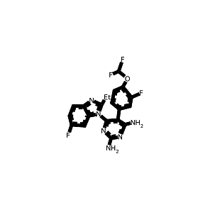 CCc1nc2ccc(F)cc2n1-c1nc(N)nc(N)c1-c1ccc(OC(F)F)c(F)c1